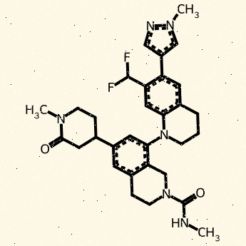 CNC(=O)N1CCc2cc(C3CCN(C)C(=O)C3)cc(N3CCCc4cc(-c5cnn(C)c5)c(C(F)F)cc43)c2C1